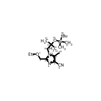 CCOCc1nc(C#N)c(I)n1CC(C)(C)O[Si](C)(C)C(C)(C)C